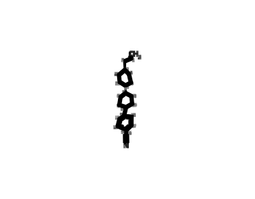 C=CC[C@H]1CC[C@H](C2CCC(c3ccc(C#N)cc3)CC2)CC1